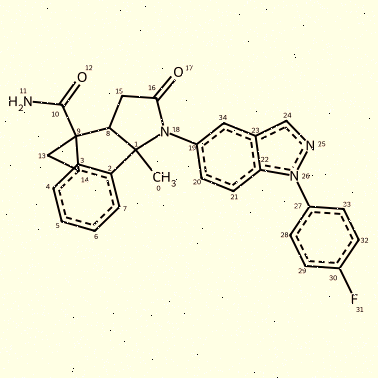 CC1(c2ccccc2)C(C2(C(N)=O)CC2)CC(=O)N1c1ccc2c(cnn2-c2ccc(F)cc2)c1